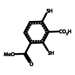 COC(=O)c1ccc(S)c(C(=O)O)c1S